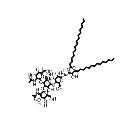 CCCCCCCCCCCCC/C=C/[C@@H](O)[C@H](CO[C@@H]1OC(CO)[C@@H](O[C@@H]2OC(CO)[C@H](O[C@@H]3OC(CO)[C@H](O)[C@H](O)C3NC(C)=O)[C@H](O[C@@H]3OC(CO)[C@@H](O)[C@H](O)C3NC(C)=O)C2O)[C@H](O)C1O)NC(=O)CCCCCCCCCCCCCCCCC